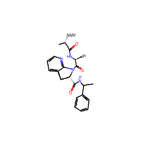 CN[C@@H](C)C(=O)N[C@H](C(=O)N1c2ncccc2C[C@H]1C(=O)NC(C)c1ccccc1)C(C)C